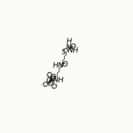 O=C(CCCCC1SCC2NC(=O)NC21)NCCCCCC(=O)NC(c1ccccc1)P(=O)(Oc1ccccc1)Oc1ccccc1